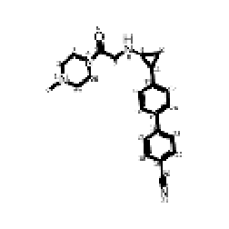 CN1CCN(C(=O)CN[C@H]2CC2c2ccc(-c3ccc(C#N)cc3)cc2)CC1